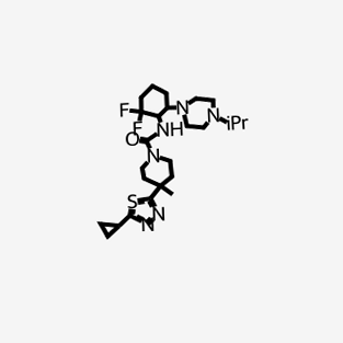 CC(C)N1CCN(C2CCCC(F)(F)C2NC(=O)N2CCC(C)(c3nnc(C4CC4)s3)CC2)CC1